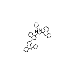 CC1(c2ccccc2)c2ccccc2-c2ccc(-c3ccc(-c4cc(-c5cc6ccccc6c6ccccc56)nc(-c5ccccc5)n4)c4ccccc34)cc21